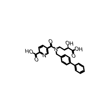 O=C(O)c1ccc(C(=O)N(CC[C@@H](O)C(=O)O)Cc2ccc(-c3ccccc3)cc2)cn1